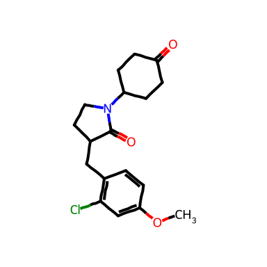 COc1ccc(CC2CCN(C3CCC(=O)CC3)C2=O)c(Cl)c1